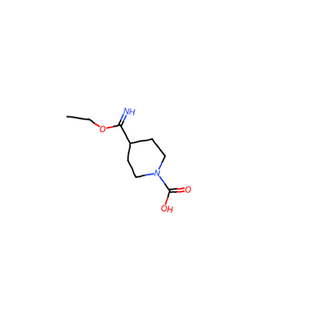 CCOC(=N)C1CCN(C(=O)O)CC1